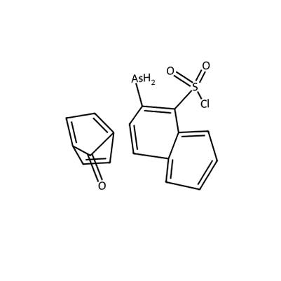 O=C1C2=CC=C1C=C2.O=S(=O)(Cl)c1c([AsH2])ccc2ccccc12